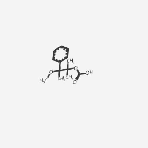 COC(C)(c1ccccc1)C(C)(C)OC(=O)O